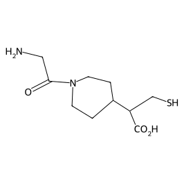 NCC(=O)N1CCC(C(CS)C(=O)O)CC1